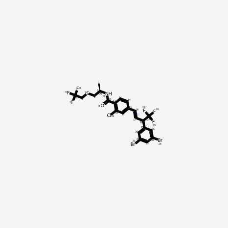 C[C@H](CSCC(F)(F)F)NC(=O)c1ccc(/C=C/C(c2cc(Br)cc(Br)c2)C(F)(F)F)cc1Cl